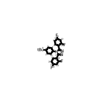 CC(C)(C)c1ccc(-n2c(-c3ccc(F)cc3F)nnc2-c2ccc(F)cc2F)cc1